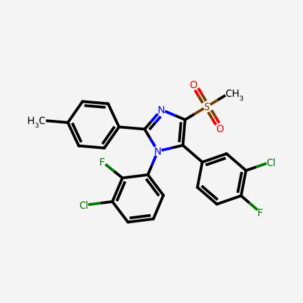 Cc1ccc(-c2nc(S(C)(=O)=O)c(-c3ccc(F)c(Cl)c3)n2-c2cccc(Cl)c2F)cc1